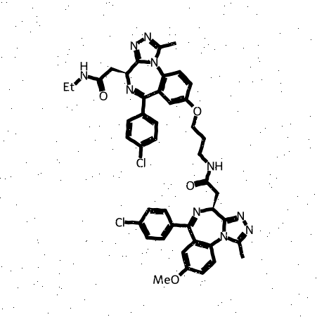 CCNC(=O)C[C@@H]1N=C(c2ccc(Cl)cc2)c2cc(OCCCNC(=O)C[C@@H]3N=C(c4ccc(Cl)cc4)c4cc(OC)ccc4-n4c(C)nnc43)ccc2-n2c(C)nnc21